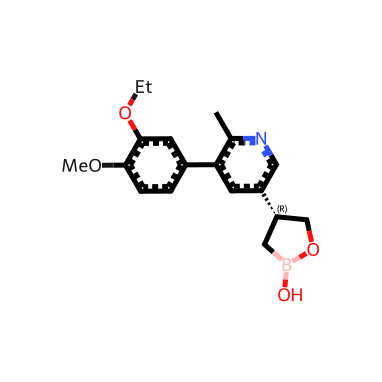 CCOc1cc(-c2cc([C@@H]3COB(O)C3)cnc2C)ccc1OC